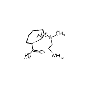 CN(C)CCN.O=C(O)C1CCCCC1